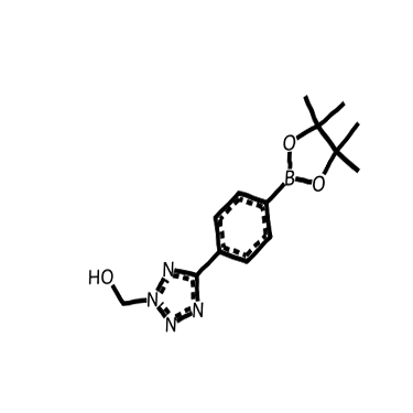 CC1(C)OB(c2ccc(-c3nnn(CO)n3)cc2)OC1(C)C